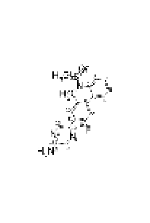 CN(c1ccccc1-c1ccc(-c2cnc(N)cn2)c(F)c1)[S+](C)[O-]